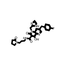 O=C(NCCCN1CCCC1=O)c1c(O)c2ncc(Cc3ccc(F)cc3)cc2n(Cc2ncc[nH]2)c1=O